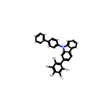 [2H]c1c([2H])c([2H])c(-c2ccc3c4ccccc4n(-c4ccc(-c5ccccc5)cc4)c3c2)c([2H])c1[2H]